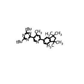 Cc1cc(-c2ccc3c(c2)C(C)(C)CC3(C)C)ncc1-c1nc(C(C)(C)C)nc(C(C)(C)C)n1